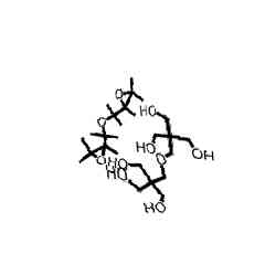 CC(C)(OC(C)(C)C1(C)OC1(C)C)C1(C)OC1(C)C.OCC(CO)(CO)COCC(CO)(CO)CO